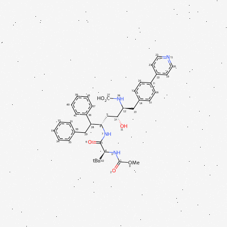 COC(=O)N[C@H](C(=O)N[C@@H](C[C@@H](O)[C@H](Cc1ccc(-c2ccncc2)cc1)NC(=O)O)C(Cc1ccccc1)c1ccccc1)C(C)(C)C